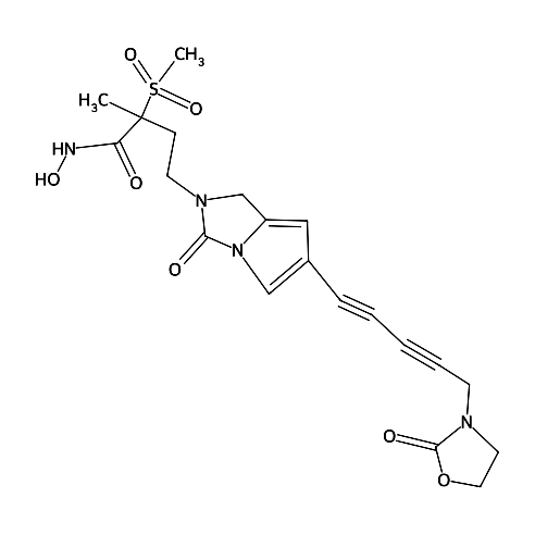 CC(CCN1Cc2cc(C#CC#CCN3CCOC3=O)cn2C1=O)(C(=O)NO)S(C)(=O)=O